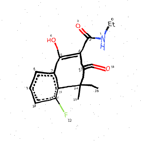 CCNC(=O)C1=C(O)c2cccc(F)c2C(C)(C)C1=O